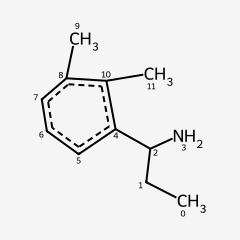 CCC(N)c1cccc(C)c1C